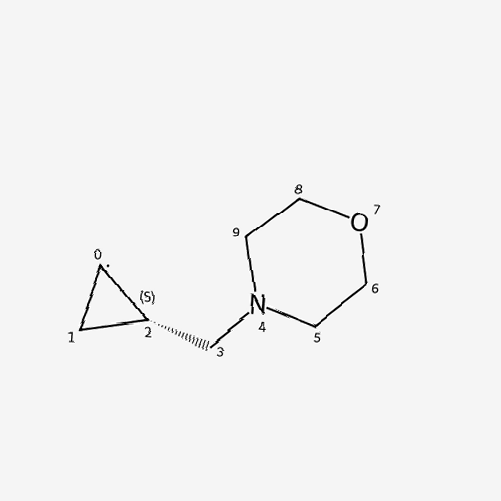 [CH]1C[C@H]1CN1CCOCC1